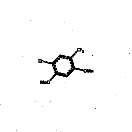 CCc1cc(C(F)(F)F)c(OC)cc1OC